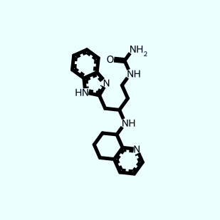 NC(=O)NCCC(Cc1nc2ccccc2[nH]1)NC1CCCc2cccnc21